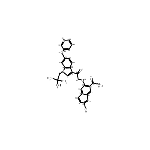 CC(C)(O)Cn1cc(C(=O)COc2cc3ccc(Cl)cc3cc2C(N)=O)c2ccc(Oc3cccnc3)cc21